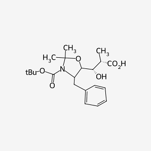 C[C@H](C(=O)O)[C@H](O)C1OC(C)(C)N(C(=O)OC(C)(C)C)C1Cc1ccccc1